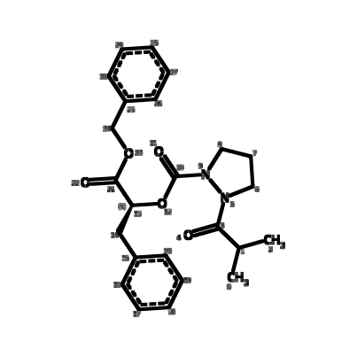 CC(C)C(=O)N1CCCN1C(=O)O[C@@H](Cc1ccccc1)C(=O)OCc1ccccc1